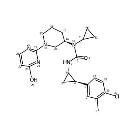 Cc1cc([C@H]2C[C@@H]2NC(=O)N(C2CC2)[C@@H]2CCCN(c3nccc(O)n3)C2)ccc1Cl